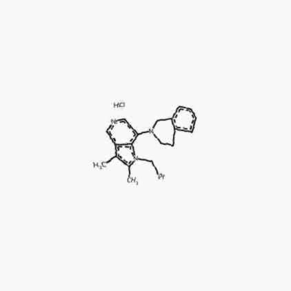 Cc1c(C)n(CC(C)C)c2c(N3CCc4ccccc4C3)cncc12.Cl